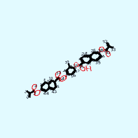 C=C(C)C(=O)Oc1ccc2cc(C(=O)Oc3ccc(OC(O)c4ccc5cc(OC(=O)C(=C)C)ccc5c4)c(C)c3)ccc2c1